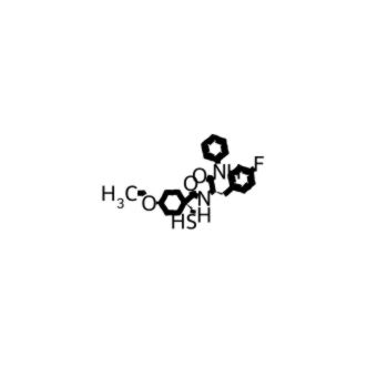 CCO[C@H]1CC[C@@](CS)(C(=O)N[C@@H](Cc2ccc(F)cc2)C(=O)Nc2ccccc2)CC1